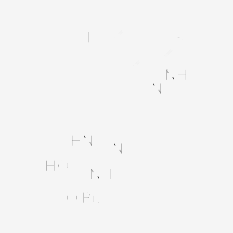 CC(C)COC(O)Nc1nc2cc(-c3n[nH]c(=O)c4ccc(F)cc34)ccc2[nH]1